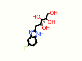 OCC(O)[C@H](O)[C@H](O)Cc1nc2cc(F)ccc2[nH]1